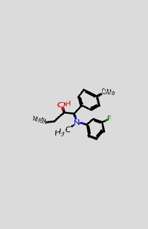 CNCC(O)C(c1ccc(OC)cc1)N(C)c1cccc(F)c1